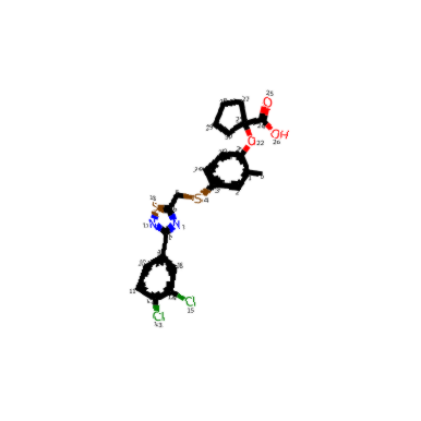 Cc1cc(SCc2nc(-c3ccc(Cl)c(Cl)c3)ns2)ccc1OC1(C(=O)O)CCCC1